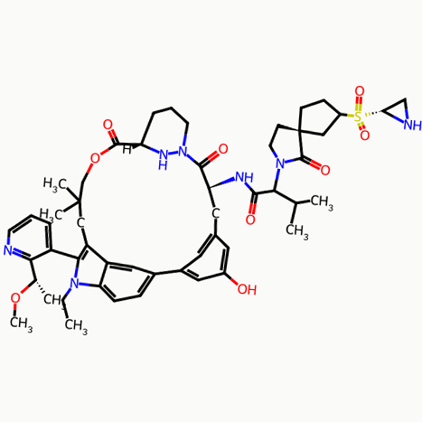 CCn1c(-c2cccnc2[C@H](C)OC)c2c3cc(ccc31)-c1cc(O)cc(c1)C[C@H](NC(=O)C(C(C)C)N1CC[C@]3(CCC(S(=O)(=O)[C@@H]4CN4)C3)C1=O)C(=O)N1CCC[C@H](N1)C(=O)OCC(C)(C)C2